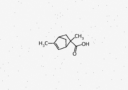 CC1=CC2CC1CC2(C)C(=O)O